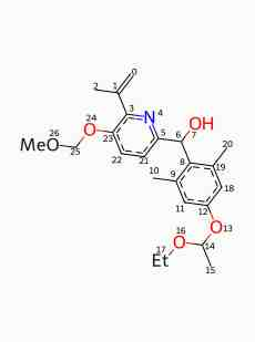 C=C(C)c1nc(C(O)c2c(C)cc(OC(C)OCC)cc2C)ccc1OCOC